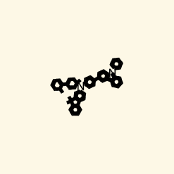 CC1CC=CC=C1C1=CCC(C)(N(c2ccc(-c3ccc4c(c3)c3ccccc3n4-c3ccccc3)cc2)c2ccc3c(c2)C(C)(C)c2ccccc2-3)C=C1